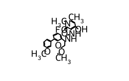 CCOC(=O)CC(NC(=O)Nc1c(O)cc(C)n(C)c1=O)c1cc(F)cc(-c2cccc(OC)c2)c1